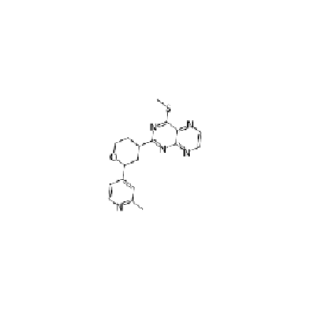 CSc1nc(C2CCOC(c3ccnc(C)c3)C2)nc2nccnc12